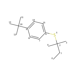 CCC(C)(C)Sc1ccc(C(C)(C)C)cc1